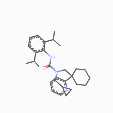 CC(C)c1cccc(C(C)C)c1NC(=O)N(CC1CC1)CC1(c2ccccn2)CCCCC1